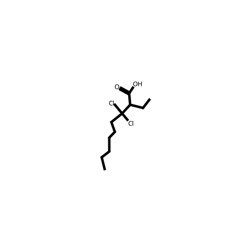 CCCCCCC(Cl)(Cl)C(CC)C(=O)O